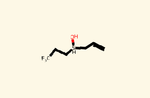 C=CC[SiH](O)CCC(F)(F)F